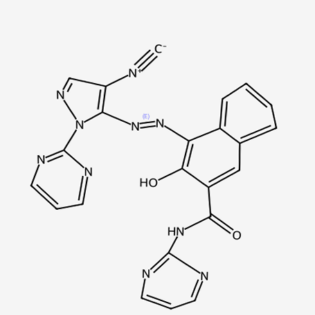 [C-]#[N+]c1cnn(-c2ncccn2)c1/N=N/c1c(O)c(C(=O)Nc2ncccn2)cc2ccccc12